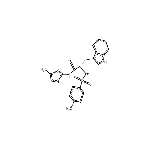 Cc1ccc(S(=O)(=O)N[C@@H](Cc2c[nH]c3ccccc23)C(=O)Nc2ncc(C)s2)cc1